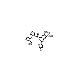 COc1cc2nc(-c3ccc(Br)cc3)nc(NCc3ccccc3Sc3ccccc3CO)c2cc1OC